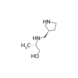 C[C@@H](CO)NC[C@@H]1CCNC1